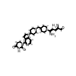 N/C(C=O)=C\C=C(/N)N1CCC(CN2CCC(n3ccc4c(N5CCC(=O)NC5=O)nccc43)CC2)CC1